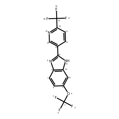 FC(F)(F)Oc1ccc2nc(-c3ccc(C(F)(F)F)nc3)[nH]c2c1